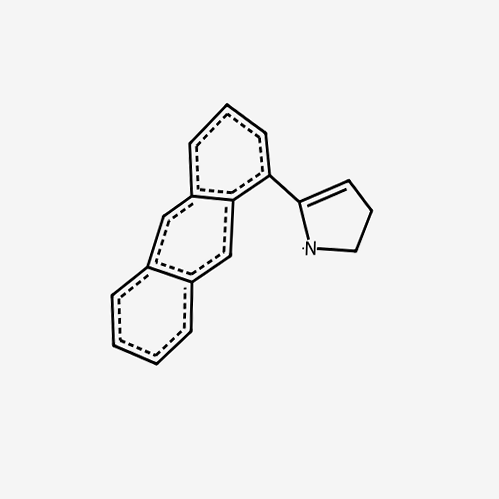 C1=C(c2cccc3cc4ccccc4cc23)[N]CC1